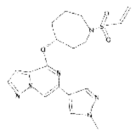 C=CS(=O)(=O)N1CCC[C@@H](Oc2nc(-c3cnn(C)c3)cn3nccc23)CC1